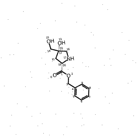 O=C(OCc1ccccc1)[C@@H]1C[C@@](O)(CO)CN1